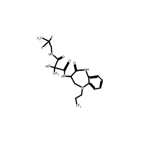 CC(O)(C(=O)NCC(F)(F)C(F)(F)F)C(=O)NC1CN(CCC(F)(F)F)c2ccccc2NC1=O